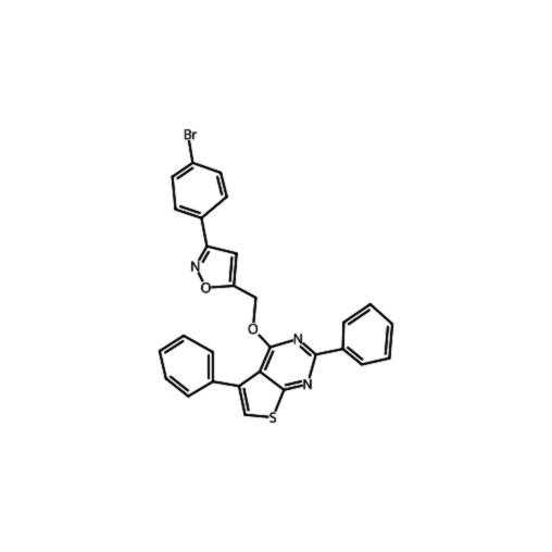 Brc1ccc(-c2cc(COc3nc(-c4ccccc4)nc4scc(-c5ccccc5)c34)on2)cc1